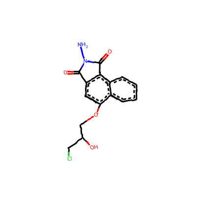 NN1C(=O)c2cc(OCC(O)CCl)c3ccccc3c2C1=O